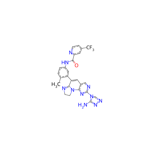 Cc1ccc(NC(=O)c2cc(C(F)(F)F)ccn2)cc1C1=Cc2cnc(-n3cnnc3N)nc2N2CCN=C12